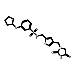 O=C1CN(Cc2coc(CNS(=O)(=O)c3cccc(OC4CCCC4)c3)c2)C(=O)N1